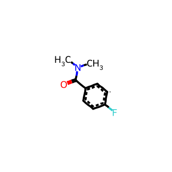 CN(C)C(=O)c1c[c]c(F)cc1